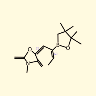 C=C1O/C(=C/C(=C\C)B2CC(C)(C)C(C)(C)O2)C(=C)N1C